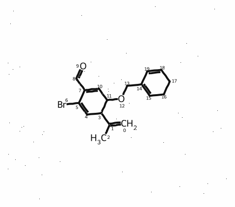 C=C(C)C1C=C(Br)C(C=O)=CC1OCC1=CCCC=C1